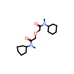 CN(C(=O)COCC(=O)N(C)C1CCCCC1)C1CCCCC1